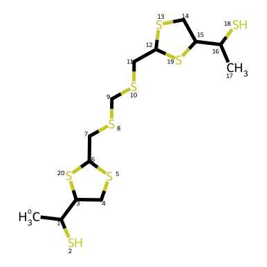 CC(S)C1CSC(CSCSCC2SCC(C(C)S)S2)S1